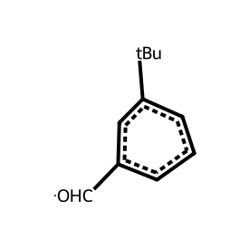 CC(C)(C)c1cccc([C]=O)c1